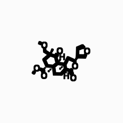 COC[C@@]1(C)C[C@@H](C(=O)OC)[C@]2(C)CC[C@@H]3C(=O)O[C@H](c4ccoc4)C[C@]3(C)[C@@H]2C1=O